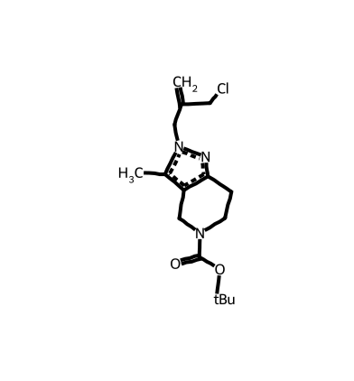 C=C(CCl)Cn1nc2c(c1C)CN(C(=O)OC(C)(C)C)CC2